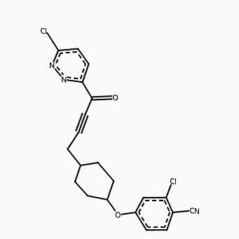 N#Cc1ccc(OC2CCC(CC#CC(=O)c3ccc(Cl)nn3)CC2)cc1Cl